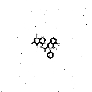 Cc1c[nH]c2ncnc(NC(C)c3cc4cccc(Cl)c4c(=O)n3-c3ccccc3)c2c1=O